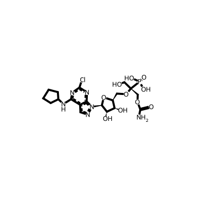 NC(=O)OC[C@](CO)(OC[C@@H]1O[C@H](n2ncc3c(NC4CCCC4)nc(Cl)nc32)[C@@H](O)[C@H]1O)P(=O)(O)O